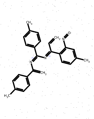 C=C/C(=N\C(=N/C(=C)c1ccc(C)cc1)c1ccc(C)cc1)c1ccc(C)cc1N=O